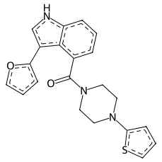 O=C(c1cccc2[nH]cc(-c3ccco3)c12)N1CCN(c2cccs2)CC1